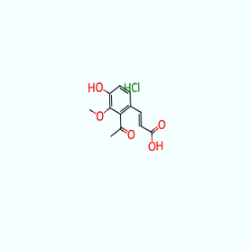 COc1c(O)ccc(C=CC(=O)O)c1C(C)=O.Cl